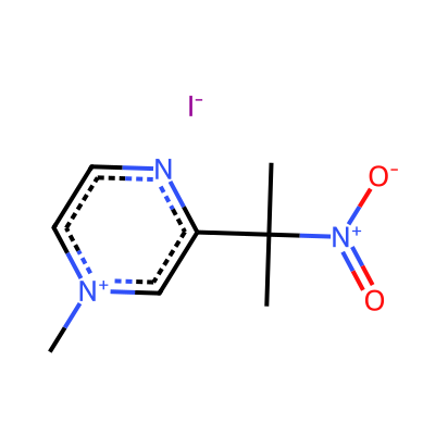 C[n+]1ccnc(C(C)(C)[N+](=O)[O-])c1.[I-]